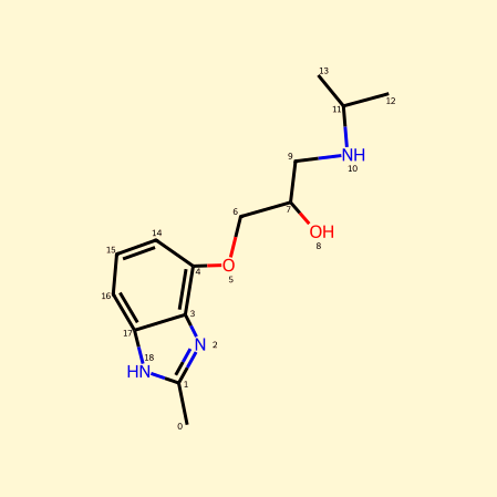 Cc1nc2c(OCC(O)CNC(C)C)cccc2[nH]1